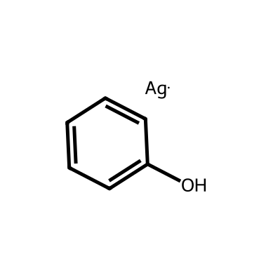 Oc1ccccc1.[Ag]